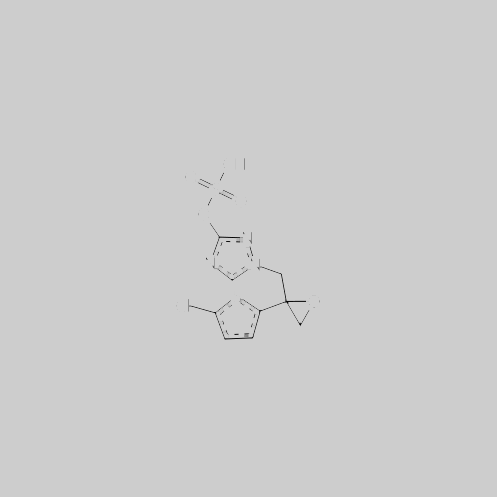 CS(=O)(=O)Oc1ncn(CC2(c3ccc(Cl)s3)CO2)n1